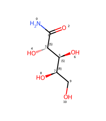 NC(=O)[C@@H](O)[C@@H](O)[C@H](O)CO